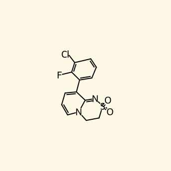 O=S1(=O)CCN2C=CC=C(c3cccc(Cl)c3F)C2=N1